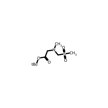 CN(CC(=O)OC(C)(C)C)CS(C)(=O)=O